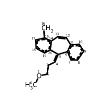 COCCC=C1c2ccccc2C=Cc2c(C)cccc21